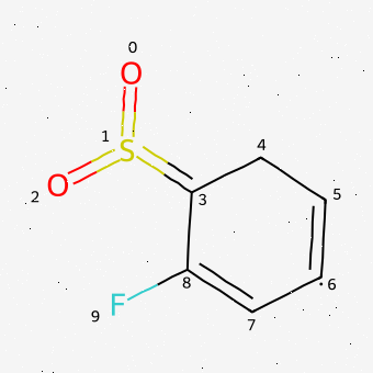 O=S(=O)=C1CC=[C]C=C1F